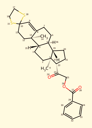 C[C@]12CC[C@H]3[C@@H](CCC4=CC5(CC[C@@]43C)SCCS5)[C@@H]1CC[C@@H]2C(=O)COC(=O)c1ccccc1